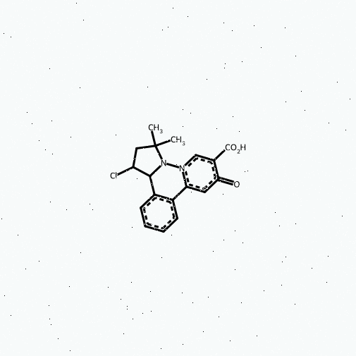 CC1(C)CC(Cl)C2c3ccccc3-c3cc(=O)c(C(=O)O)cn3N21